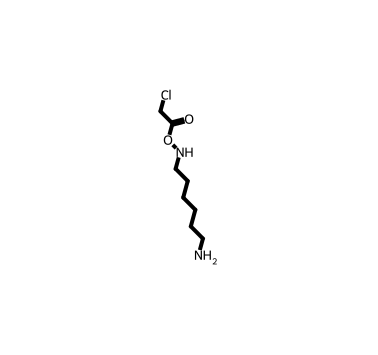 NCCCCCCNOC(=O)CCl